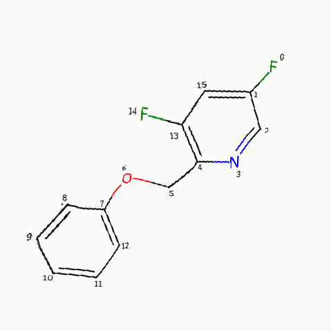 Fc1cnc(COc2[c]cccc2)c(F)c1